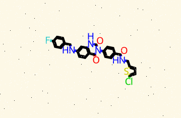 O=C(NCc1ccc(Cl)s1)c1ccc(-n2c(=O)[nH]c3cc(NCc4ccc(F)cc4)ccc3c2=O)cc1